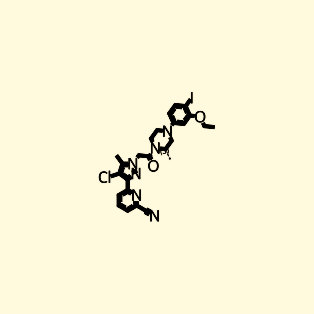 CCOc1cc(N2CCN(C(=O)Cn3nc(-c4cccc(C#N)n4)c(Cl)c3C)[C@@H](C)C2)ccc1I